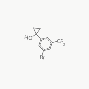 OC1(c2cc(Br)cc(C(F)(F)F)c2)CC1